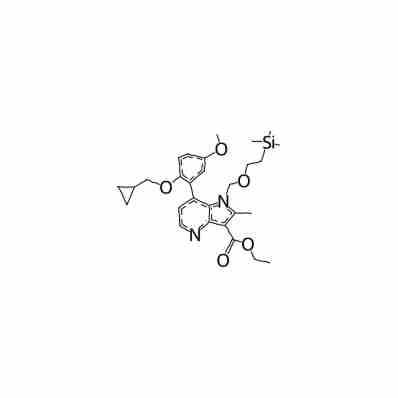 CCOC(=O)c1c(C)n(COCC[Si](C)(C)C)c2c(-c3cc(OC)ccc3OCC3CC3)ccnc12